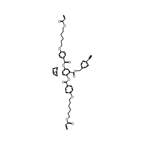 C#Cc1ccc(COC(=O)c2cc(OC(=O)c3ccc(OCCCCCCOC(=O)C=C)cc3)ccc2OC(=O)c2ccc(OCCCCCCOC(=O)C=C)cc2)cc1.c1cc2ccc1-2